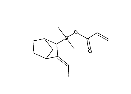 C=CC(=O)O[Si](C)(C)C1C(=CC)C2CCC1C2